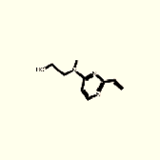 C=Cc1nccc(N(C)CCO)n1